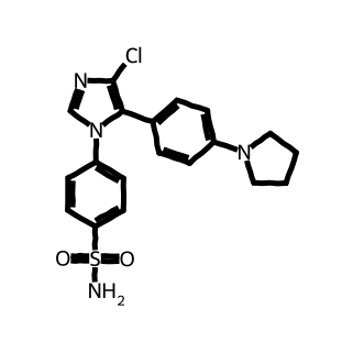 NS(=O)(=O)c1ccc(-n2cnc(Cl)c2-c2ccc(N3CCCC3)cc2)cc1